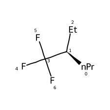 CCC[C@H](CC)C(F)(F)F